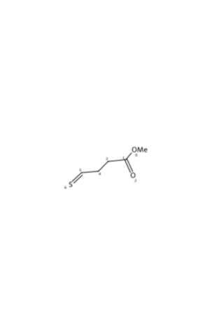 COC(=O)CCC=S